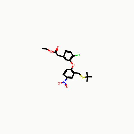 CCOC(=O)Cc1ccc(Cl)c(Oc2ccc([N+](=O)[O-])cc2CSC(C)(C)C)c1